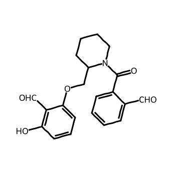 O=Cc1ccccc1C(=O)N1CCCCC1COc1cccc(O)c1C=O